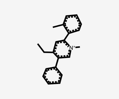 CCc1cc(-c2ccccc2C)[n+](C)cc1-c1ccccc1